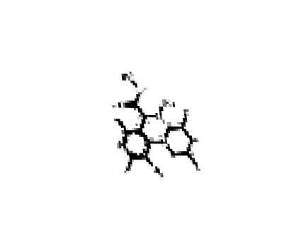 Cc1nc(C)c([C@H](OC(C)(C)C)C(=O)OC(C)C)c(N2CC(C)CC(C)C2)c1Br